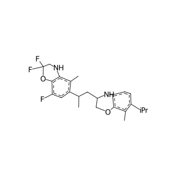 Cc1c(C(C)CC2COc3c(ccc(C(C)C)c3C)N2)cc(F)c2c1NCC(F)(F)O2